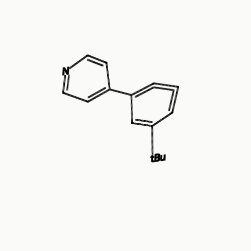 CC(C)(C)C1=CC(c2ccncc2)=C=C=C1